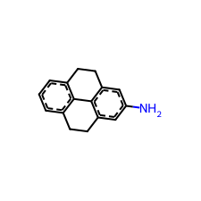 Nc1cc2c3c(c1)CCc1cccc(c1-3)CC2